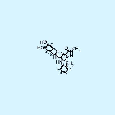 CNC(=O)c1cnc(Nc2ccccc2C)c(NC(=O)Cc2ccc(O)c(O)c2)c1